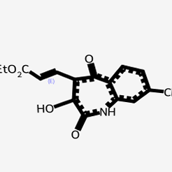 CCOC(=O)/C=C/c1c(O)c(=O)[nH]c2cc(Cl)ccc2c1=O